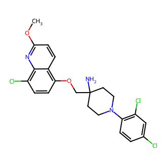 COc1ccc2c(OCC3(N)CCN(c4ccc(Cl)cc4Cl)CC3)ccc(Cl)c2n1